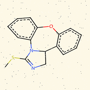 CSC1=NCC2c3ccccc3Oc3ccccc3N12